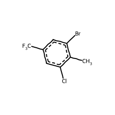 Cc1c(Cl)cc(C(F)(F)F)cc1Br